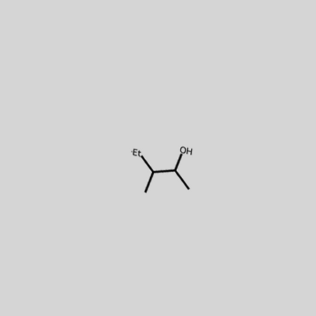 C[CH]C(C)C(C)O